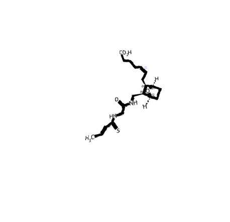 CC=CC(=S)NCC(=O)NC[C@H]1[C@@H](C/C=C\CCCC(=O)O)[C@H]2CC[C@@H]1O2